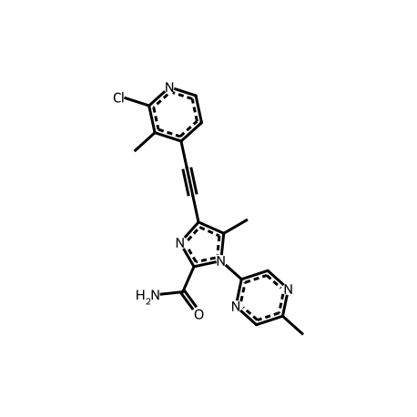 Cc1cnc(-n2c(C(N)=O)nc(C#Cc3ccnc(Cl)c3C)c2C)cn1